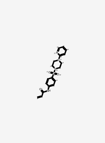 C=CC(=O)Nc1ccc(S(=O)(=O)N2CCN(c3ccccn3)CC2)cc1